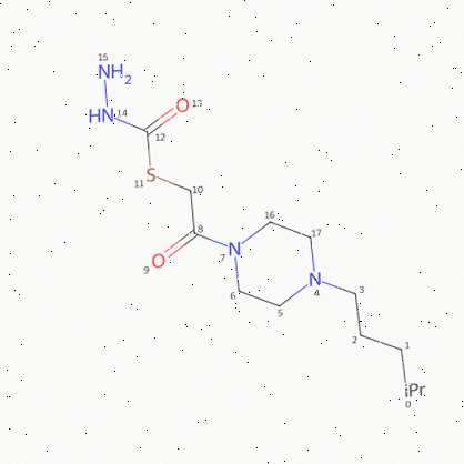 CC(C)CCCN1CCN(C(=O)CSC(=O)NN)CC1